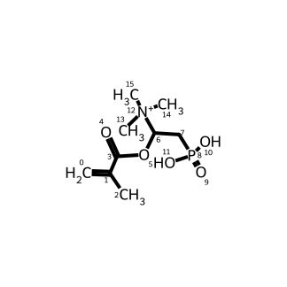 C=C(C)C(=O)OC(CP(=O)(O)O)[N+](C)(C)C